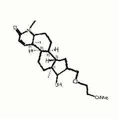 COCCOCC1C[C@H]2[C@@H]3CCC4N(C)C(=O)C=C[C@]4(C)[C@@H]3CC[C@]2(C)C1O